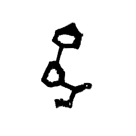 COC(=O)c1cccc(-c2c[c]ccc2)c1